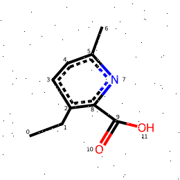 CCc1ccc(C)nc1C(=O)O